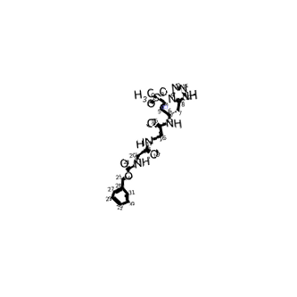 CS(=O)(=O)/C=C/[C@H](Cc1nnn[nH]1)NC(=O)CNC(=O)CNC(=O)OCc1ccccc1